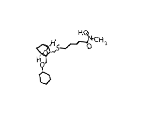 CN(O)C(=O)CCCCSC[C@H]1[C@@H](COC2CCCCC2)[C@H]2CC[C@@H]1O2